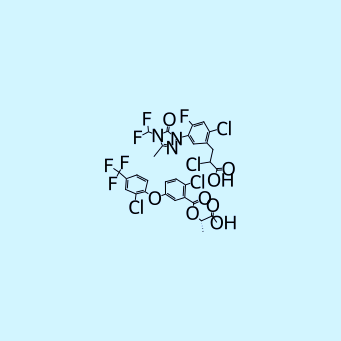 C[C@H](OC(=O)c1cc(Oc2ccc(C(F)(F)F)cc2Cl)ccc1Cl)C(=O)O.Cc1nn(-c2cc(CC(Cl)C(=O)O)c(Cl)cc2F)c(=O)n1C(F)F